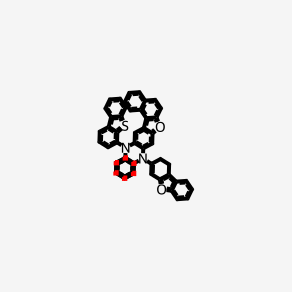 C1=C(N(c2ccccc2)c2cc3oc4ccc5ccccc5c4c3cc2N(c2ccccc2)c2cccc3c2sc2ccccc23)CCc2c1oc1ccccc21